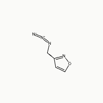 [N-]=[N+]=NCc1ccon1